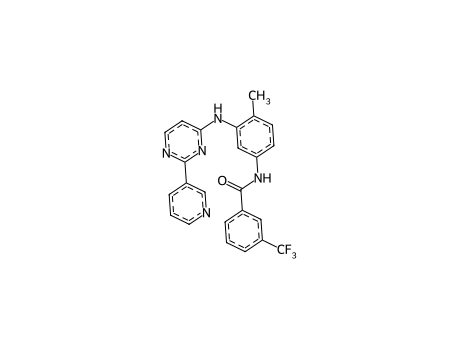 Cc1ccc(NC(=O)c2cccc(C(F)(F)F)c2)cc1Nc1ccnc(-c2cccnc2)n1